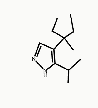 CCC(C)(CC)c1cn[nH]c1C(C)C